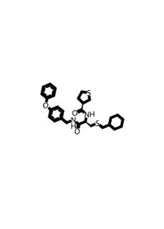 O=C(N[C@@H](CSCC1CCCCC1)C(=O)NCc1ccc(Oc2ccccc2)cc1)[C@H]1CCSC1